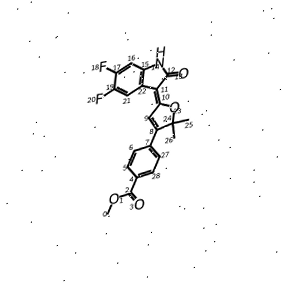 COC(=O)c1ccc(C2=CC(=C3C(=O)Nc4cc(F)c(F)cc43)OC2(C)C)cc1